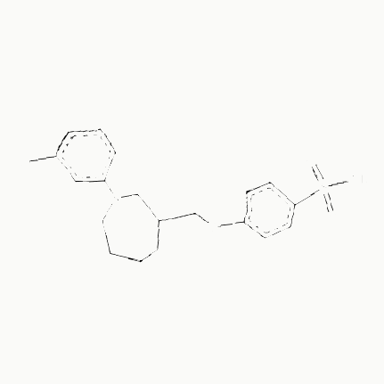 CS(=O)(=O)c1ccc(OCC2CCCCN(c3cccc(Cl)c3)C2)cc1